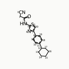 N#CCC(=O)Nc1nc(-c2ccc(C3CCCCC3)cc2)cs1